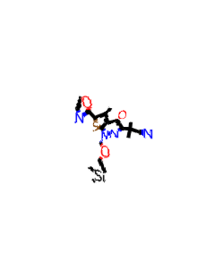 Cc1c(-c2ncco2)sc2c1c(=O)c(C(C)(C)C#N)nn2COCC[Si](C)(C)C